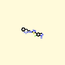 N[C@@H](CNc1nnc(-c2cc3cn[nH]c3cc2F)s1)Cc1ccccc1